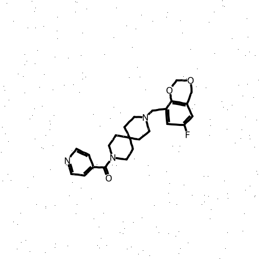 O=C(c1ccncc1)N1CCC2(CCN(Cc3cc(F)cc4c3OCOC4)CC2)CC1